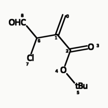 C=C(C(=O)OC(C)(C)C)C(Cl)C=O